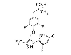 CC(Cc1cc(F)c(OCc2c(-c3ncc(Cl)cc3F)nsc2C(F)(F)F)c(F)c1)C(=O)O